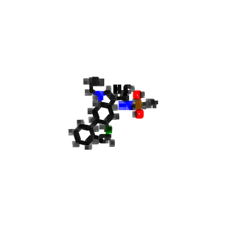 CC(C)S(=O)(=O)N[C@H](C)c1cn(CC(C)(C)C)c2cc(-c3ccccc3C(F)(F)F)c(F)cc12